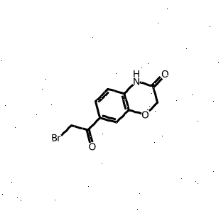 O=C1COc2cc(C(=O)CBr)ccc2N1